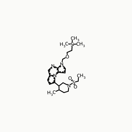 CCS(=O)(=O)N1CCC(C)C(c2ccc3cnc4c(ccn4COCC[Si](C)(C)C)n23)C1